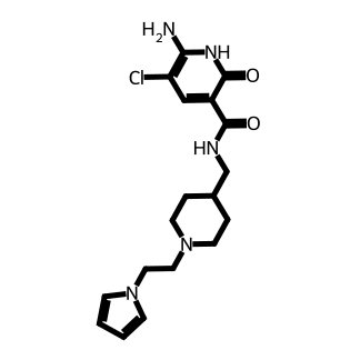 Nc1[nH]c(=O)c(C(=O)NCC2CCN(CCn3cccc3)CC2)cc1Cl